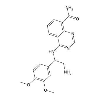 COc1ccc(C(CN)Nc2ncnc3c(C(N)=O)cccc23)cc1OC